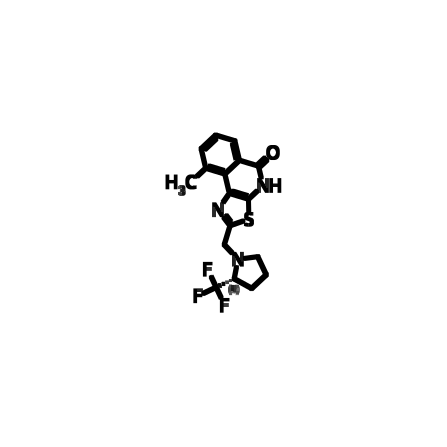 Cc1cccc2c(=O)[nH]c3sc(CN4CCC[C@@H]4C(F)(F)F)nc3c12